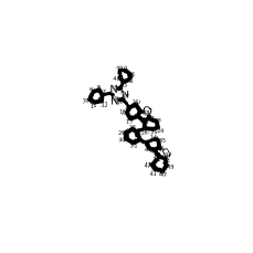 c1ccc(-c2nc(-c3ccccc3)nc(-c3ccc4c(c3)oc3cccc(-c5ccccc5-c5ccc6oc7ccccc7c6c5)c34)n2)cc1